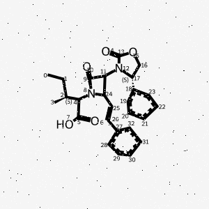 CC[C@H](C)C(C(=O)O)N1C(=O)C(N2C(=O)OC[C@@H]2c2ccccc2)C1C=Cc1ccccc1